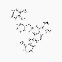 N[C@@H](CCN(Cc1ccccc1Oc1ccccc1C(F)(F)F)Cc1ccccc1Oc1ccccc1C(F)(F)F)C(=O)O